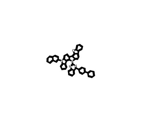 c1ccc(-c2ccc(-c3nc(-n4c5ccc6c7ccccc7oc6c5c5ccc6c(c7ccccc7n6-c6ccc7ccccc7c6)c54)nc4ccccc34)cc2)cc1